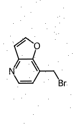 BrCc1ccnc2ccoc12